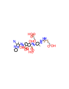 Cc1cc(N=Nc2c(SOOO)cc3c(S(=O)(=O)O)c(N=Nc4c(C)c(C#N)c5nc6ccccc6n5c4O)ccc3c2O)c(OCCCS(=O)(=O)O)cc1N=Nc1nnc(SCCC(=O)O)s1